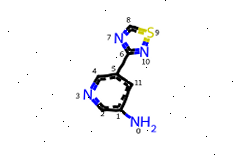 Nc1cncc(-c2ncsn2)c1